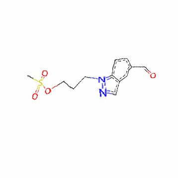 CS(=O)(=O)OCCCn1ncc2cc(C=O)ccc21